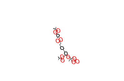 C=C(C)C(=O)OCc1cc(-c2ccc(CCC(=O)Oc3ccc(OC(=O)C(=C)C)cc3)cc2)ccc1OCC1(CC)COC(=O)OC1